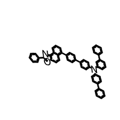 c1ccc(-c2ccc(N(c3ccc(-c4ccc(-c5cccc6c5ccc5oc(-c7ccccc7)nc56)cc4)cc3)c3cccc(-c4ccccc4)c3)cc2)cc1